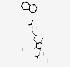 O=C(COc1cccc2ccccc12)NCC1Cc2c(sc(NC(=O)C(=O)O)c2C(=O)O)CO1